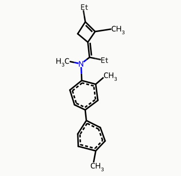 CCC1=C(C)/C(=C(\CC)N(C)c2ccc(-c3ccc(C)cc3)cc2C)C1